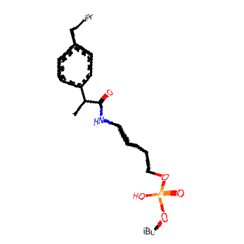 CCC(C)OP(=O)(O)OCCCCNC(=O)C(C)c1ccc(CC(C)C)cc1